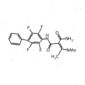 CN/C(C)=C(\C(N)=O)C(=O)Nc1c(F)c(F)c(-c2ccccc2)c(F)c1F